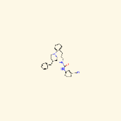 N#Cc1cccc(NC(=O)NCCCc2ccccc2N2CCC(Cc3ccccc3)CC2)c1